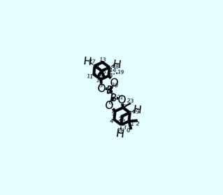 CC1(C)[C@H]2CC3OB(B4OC5C[C@H]6C[C@H](C6(C)C)[C@@]5(C)O4)O[C@]3(C)[C@@H]1C2